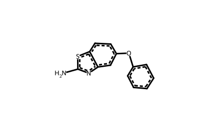 Nc1nc2cc(Oc3ccccc3)ccc2s1